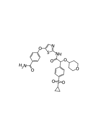 NC(=O)c1ccc(Oc2cnc(NC(=O)C(OC3CCOCC3)c3ccc(S(=O)(=O)C4CC4)cc3)s2)cc1